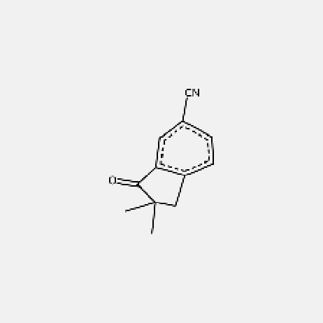 CC1(C)Cc2ccc(C#N)cc2C1=O